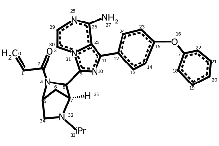 C=CC(=O)N1C2C[C@@H](C1c1nc(-c3ccc(Oc4ccccc4)cc3)c3c(N)nccn13)N(C(C)C)C2